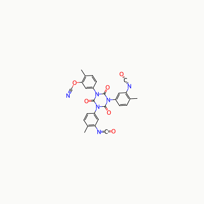 Cc1ccc(-n2c(=O)n(-c3ccc(C)c(N=C=O)c3)c(=O)n(-c3ccc(C)c(OC#N)c3)c2=O)cc1N=C=O